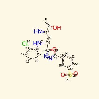 C=C(O)C(=N)/C=C(\Nc1ccccc1Cl)c1nnc(-c2cccc(S(C)(=O)=O)c2)o1